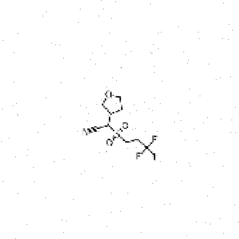 N#CC(C1CCOC1)S(=O)(=O)CCC(F)(F)F